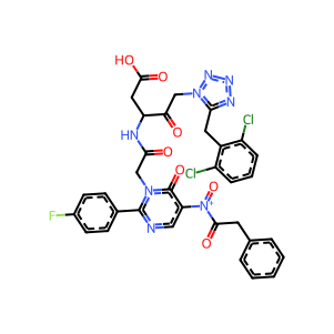 O=C(O)CC(NC(=O)Cn1c(-c2ccc(F)cc2)ncc([N+](=O)C(=O)Cc2ccccc2)c1=O)C(=O)Cn1nnnc1Cc1c(Cl)cccc1Cl